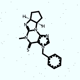 CN1C(=S)c2c(ncn2Cc2ccccc2)N2C1=N[C@H]1CCC[C@H]12